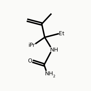 C=C(C)C(CC)(NC(N)=O)C(C)C